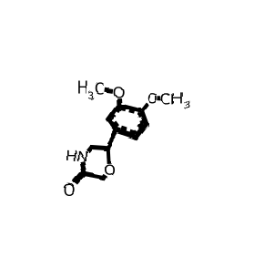 COc1ccc(C2CNC(=O)CO2)cc1OC